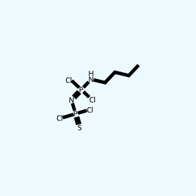 CCCCNP(Cl)(Cl)=NP(=S)(Cl)Cl